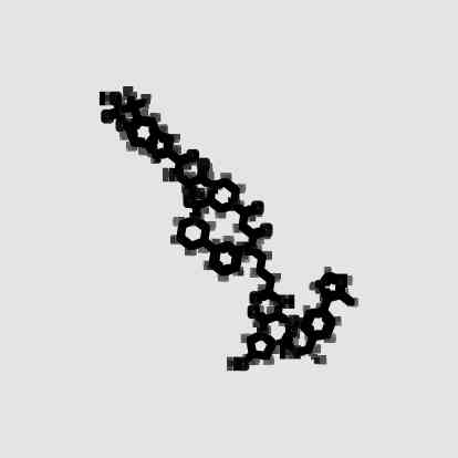 Cc1ncsc1-c1ccc([C@H](C)NC(=O)[C@@H]2C[C@@H](O)CN2C(=O)C(NC(=O)CCCNC(=O)CC(=O)N2CCN(C(=O)C(NC(=O)c3cc4cc(C(F)(F)P(=O)(O)O)ccc4s3)C(C)(C)C)C(C(=O)N3CCCC(c4ccccc4)C3)C2)C(C)(C)C)cc1